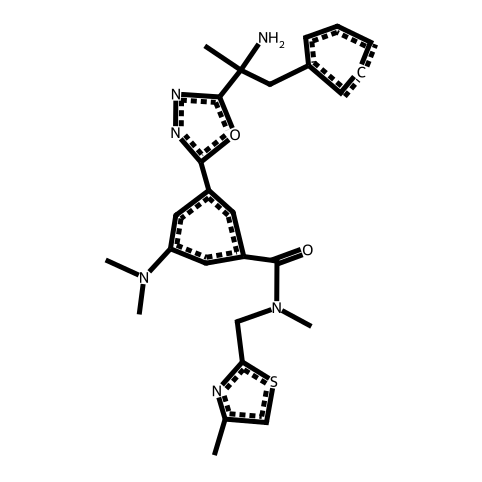 Cc1csc(CN(C)C(=O)c2cc(-c3nnc(C(C)(N)Cc4ccccc4)o3)cc(N(C)C)c2)n1